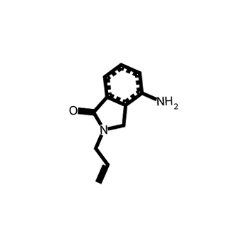 C=CCN1Cc2c(N)cccc2C1=O